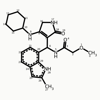 COCC(=O)NC(C1=C(NC2CCCCC2)CNC1=O)c1cccc2cc(C)[nH]c12